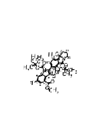 COC(=O)c1cc(F)cc2c1c(C=O)c(-c1ccc(C3(C)CCCN3C(=O)OC(C)(C)C)cc1)n2C(=O)OC(C)(C)C